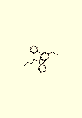 CCCCn1c2ccccc2c2cc(CO)nc(-c3ccccc3)c21